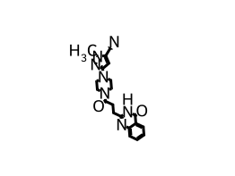 Cn1nc(N2CCN(C(=O)CCc3nc4ccccc4c(=O)[nH]3)CC2)cc1C#N